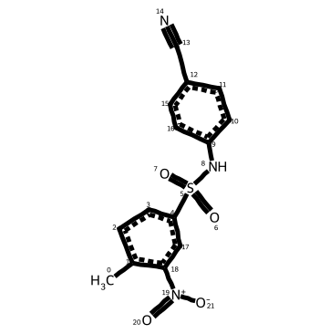 Cc1ccc(S(=O)(=O)Nc2ccc(C#N)cc2)cc1[N+](=O)[O-]